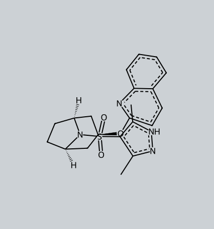 Cc1n[nH]c(C)c1S(=O)(=O)N1[C@@H]2CC[C@H]1C[C@@H](Oc1ccc3ccccc3n1)C2